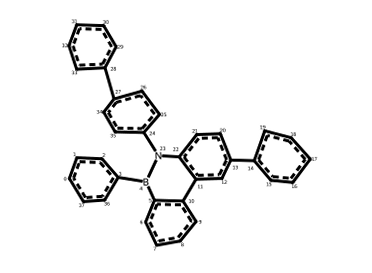 c1ccc(B2c3ccccc3-c3cc(-c4ccccc4)ccc3N2c2ccc(-c3ccccc3)cc2)cc1